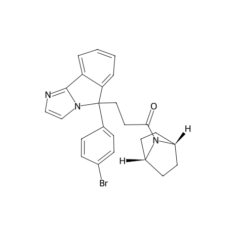 O=C(CCC1(c2ccc(Br)cc2)c2ccccc2-c2nccn21)N1[C@H]2CC[C@@H]1CC2